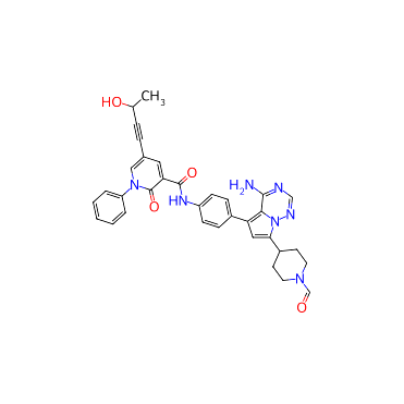 CC(O)C#Cc1cc(C(=O)Nc2ccc(-c3cc(C4CCN(C=O)CC4)n4ncnc(N)c34)cc2)c(=O)n(-c2ccccc2)c1